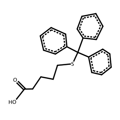 O=C(O)CCCCSC(c1ccccc1)(c1ccccc1)c1ccccc1